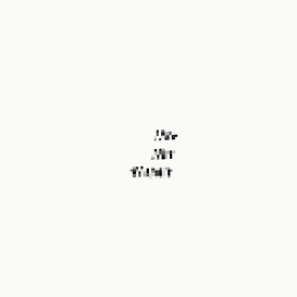 [Mn].[Mn].[Mn].[Mn]